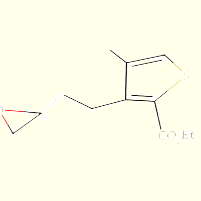 CCOC(=O)c1scc(C)c1CC[C@@H]1CO1